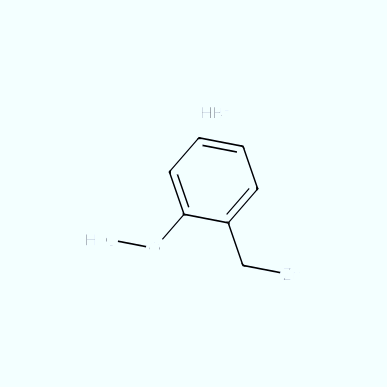 Br.COc1ccccc1[CH2][Zn]